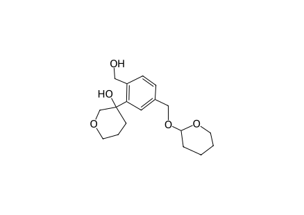 OCc1ccc(COC2CCCCO2)cc1C1(O)CCCOC1